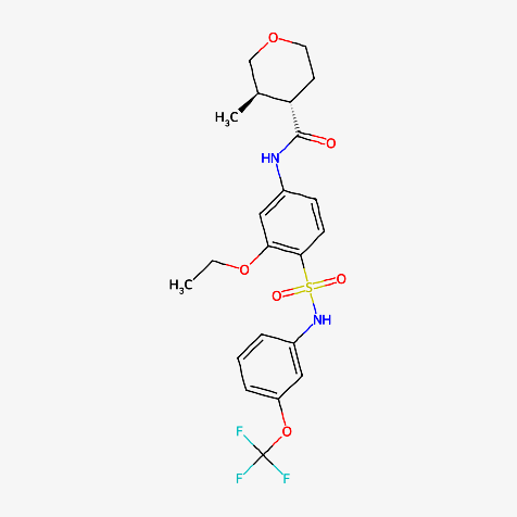 CCOc1cc(NC(=O)[C@H]2CCOC[C@@H]2C)ccc1S(=O)(=O)Nc1cccc(OC(F)(F)F)c1